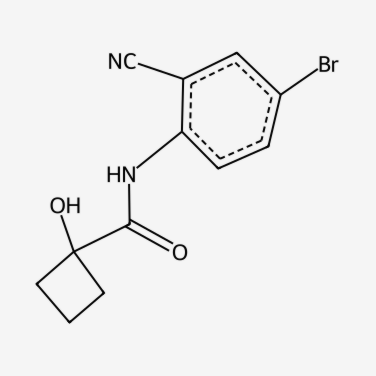 N#Cc1cc(Br)ccc1NC(=O)C1(O)CCC1